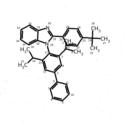 CC(C)c1cc(-c2ccccc2)cc(C(C)C)c1-n1c(-c2ccc(C(C)(C)C)cc2)nc2ccccc21